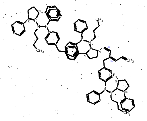 C=C/C=C(\C=C/[C@@H]1CC[C@@H](c2ccc(Cc3ccc(P(c4ccccc4)N(CCCC)P4[C@@H](c5ccccc5)CC[C@@H]4c4ccccc4)cc3)cc2)P1N(CCCC)P(c1ccccc1)c1ccccc1)Cc1ccc(P(c2ccccc2)N(CCCC)P2[C@H](P)CC[C@H]2c2ccccc2)cc1